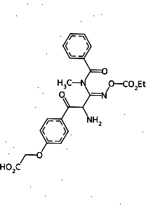 CCOC(=O)ON=C(C(N)C(=O)c1ccc(OCC(=O)O)cc1)N(C)C(=O)c1ccccc1